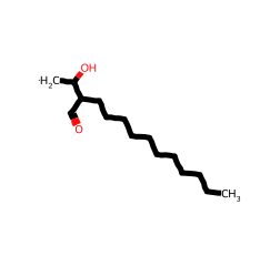 [CH2]C(O)C(C=O)CCCCCCCCCCC